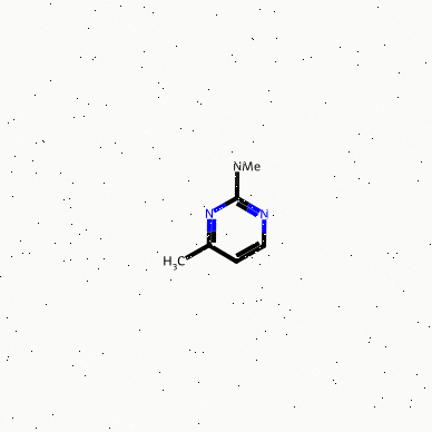 CNc1nccc(C)n1